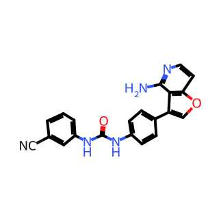 N#Cc1cccc(NC(=O)Nc2ccc(-c3coc4ccnc(N)c34)cc2)c1